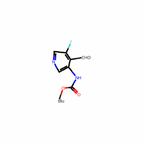 CC(C)(C)OC(=O)Nc1cncc(F)c1C=O